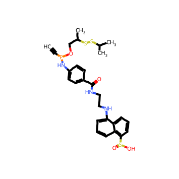 C#CP(Nc1ccc(C(=O)NCCNc2cccc3c(S(=O)O)cccc23)cc1)OCC(C)SSC(C)C